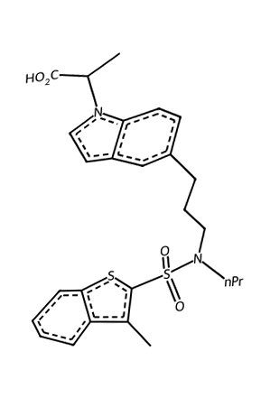 CCCN(CCCc1ccc2c(ccn2C(C)C(=O)O)c1)S(=O)(=O)c1sc2ccccc2c1C